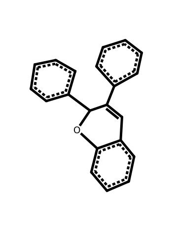 C1=C(c2ccccc2)C(c2ccccc2)Oc2ccccc21